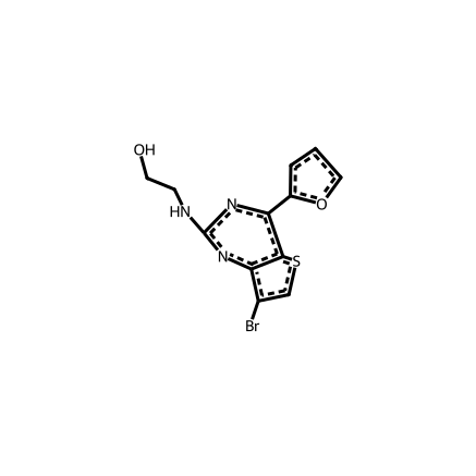 OCCNc1nc(-c2ccco2)c2scc(Br)c2n1